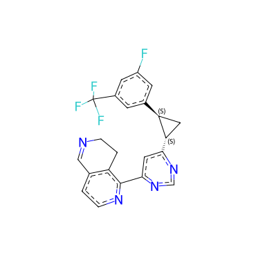 Fc1cc([C@H]2C[C@@H]2c2cc(-c3nccc4c3CCN=C4)ncn2)cc(C(F)(F)F)c1